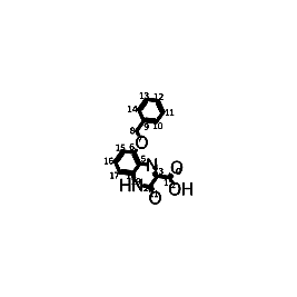 O=C(O)c1nc2c(OCc3ccccc3)cccc2[nH]c1=O